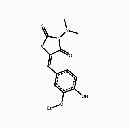 CCOc1cc(C=C2SC(=S)N(N(C)C)C2=O)ccc1O